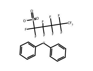 O=S(=O)([O-])C(F)(F)C(F)(F)C(F)(F)C(F)(F)C(F)(F)F.c1ccc([I+]c2ccccc2)cc1